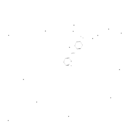 Nc1ccc(C=Cc2ccc(OCCOCCOCCF)nc2)cc1